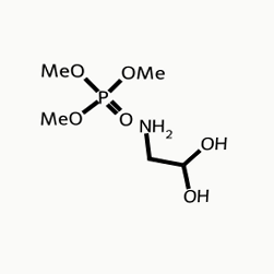 COP(=O)(OC)OC.NCC(O)O